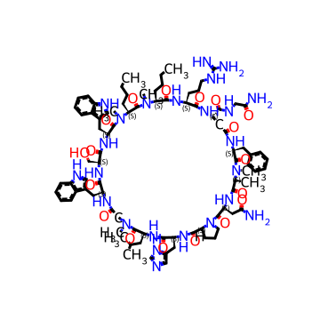 CCCC[C@H]1C(=O)N(C)[C@@H](CCCC)C(=O)N[C@@H](CCCNC(=N)N)C(=O)N[C@H](C(=O)NCC(N)=O)CC(=O)N[C@@H](Cc2ccccc2)C(=O)N(C)[C@@H](C)C(=O)N[C@@H](CC(N)=O)C(=O)N2CCC[C@H]2C(=O)N[C@@H](Cc2cnc[nH]2)C(=O)N[C@@H](CC(C)C)C(=O)N(C)CC(=O)N[C@@H](Cc2c[nH]c3ccccc23)C(=O)N[C@@H](CO)C(=O)N[C@@H](Cc2c[nH]c3ccccc23)C(=O)N1C